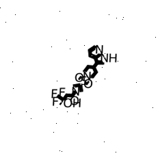 C[C@](O)(CC(=O)N1CC(S(=O)(=O)N2CCC(c3c[nH]c4ncccc34)CC2)C1)C(F)(F)F